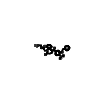 CCOC(=O)CN1C(=O)CCN(C(=O)c2ccc([N+](=O)[O-])c(OCc3ccccc3)c2)c2ccccc21